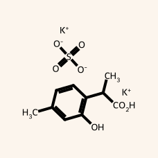 Cc1ccc(C(C)C(=O)O)c(O)c1.O=S(=O)([O-])[O-].[K+].[K+]